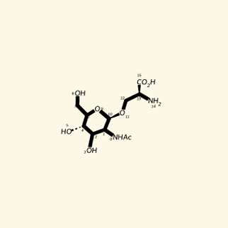 CC(=O)NC1C(O)[C@H](O)C(CO)O[C@H]1OC[C@H](N)C(=O)O